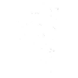 COC(=O)c1cccc(Nc2nc(N3CCC[C@H](NC(=O)OC(C)(C)C)C3)ncc2C(N)=O)c1